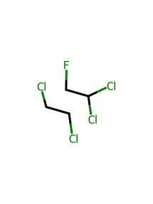 ClCCCl.FCC(Cl)Cl